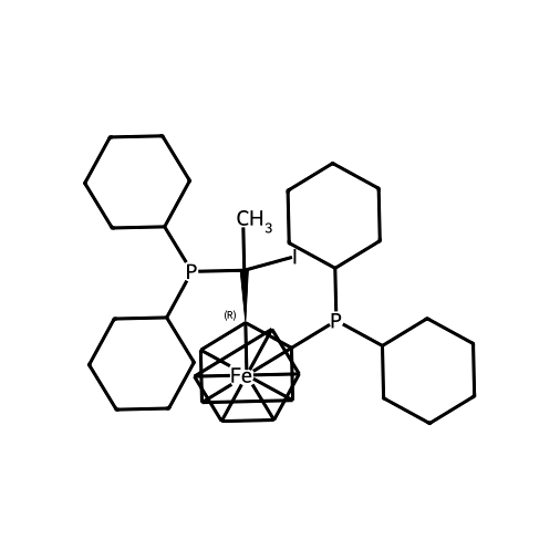 CC(I)(P(C1CCCCC1)C1CCCCC1)[C@@]12[CH]3[CH]4[CH]5[C]1(P(C1CCCCC1)C1CCCCC1)[Fe]45321678[CH]2[CH]1[CH]6[CH]7[CH]28